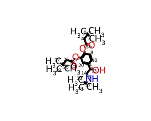 CC(C)(C)CC(=O)Oc1ccc(C(O)CNC(C)(C)C)cc1OC(=O)CC(C)(C)C